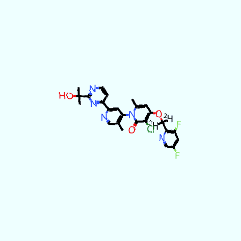 [2H]C([2H])(Oc1cc(C)n(-c2cc(-c3ccnc(C(C)(C)O)n3)ncc2C)c(=O)c1Cl)c1ncc(F)cc1F